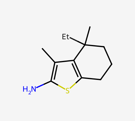 CCC1(C)CCCc2sc(N)c(C)c21